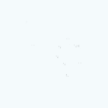 CC(C)(C)N1CCN(c2cc(C(N)=O)nc(-c3ccc(Oc4ccc(F)cc4)cc3)n2)C(CO)C1